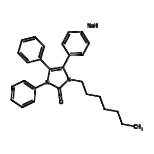 CCCCCCCn1c(-c2ccccc2)c(-c2ccccc2)n(-c2ccccc2)c1=O.[NaH]